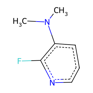 CN(C)c1cccnc1F